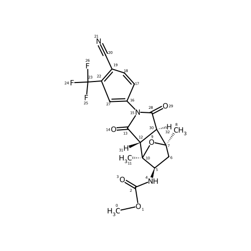 COC(=O)N[C@@H]1C[C@@]2(C)O[C@]1(C)[C@@H]1C(=O)N(c3ccc(C#N)c(C(F)(F)F)c3)C(=O)[C@H]12